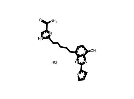 Cl.NC(=O)c1c[nH]c(CCCCCc2ccc(O)c3nc(-c4cccs4)oc23)n1